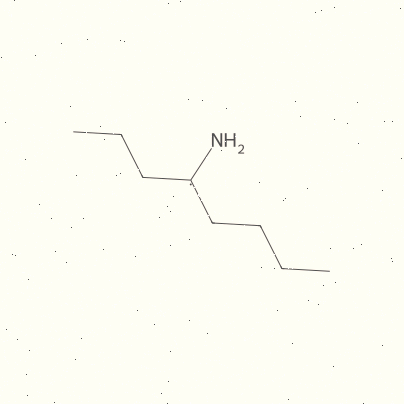 CCCC[C](N)CCC